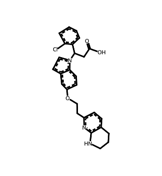 O=C(O)CC(c1ccccc1Cl)n1ccc2cc(OCCc3ccc4c(n3)NCCC4)ccc21